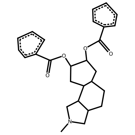 CN1CC2CCC3CC(OC(=O)c4ccccc4)C(OC(=O)c4ccccc4)CC3C2C1